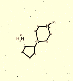 CC(C)N1CCN(C2CCC[C@@H]2N)CC1